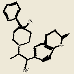 CC(C(O)c1ccc2c(c1)CCC(=O)N2)N1CCC(O)(c2ccccc2)CC1